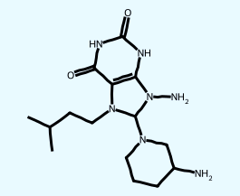 CC(C)CCN1c2c([nH]c(=O)[nH]c2=O)N(N)C1N1CCCC(N)C1